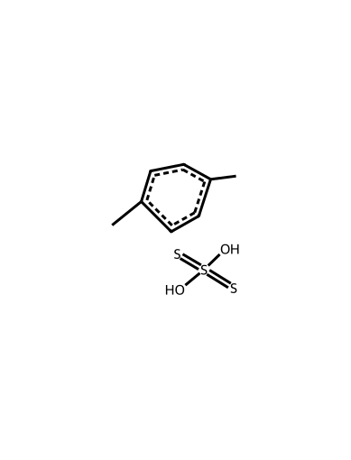 Cc1ccc(C)cc1.OS(O)(=S)=S